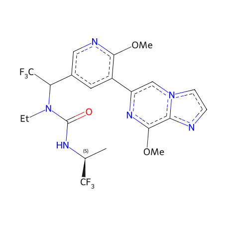 CCN(C(=O)N[C@@H](C)C(F)(F)F)C(c1cnc(OC)c(-c2cn3ccnc3c(OC)n2)c1)C(F)(F)F